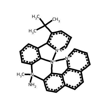 CC(C)(C)c1ccc[n+]2c1-c1cccc3c1[N+]21c2c(ccc4ccc5ccc[n+]1c5c24)[Si]3(C)N